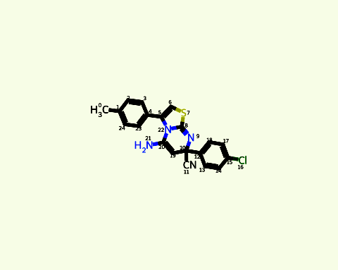 Cc1ccc(C2=CSC3=NC(C#N)(c4ccc(Cl)cc4)C=C(N)N23)cc1